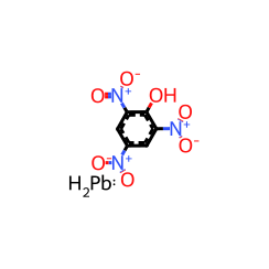 O=[N+]([O-])c1cc([N+](=O)[O-])c(O)c([N+](=O)[O-])c1.[PbH2]